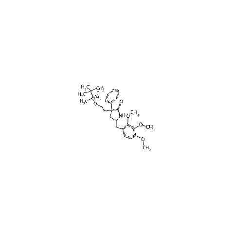 COc1ccc(CC2CC(CCO[Si](C)(C)C(C)(C)C)(c3ccccc3)C(=O)N2)c(OC)c1OC